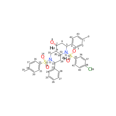 Cc1ccc(C2CC(=O)[C@@H]3CN(S(=O)(=O)c4ccc(C)cc4)C(c4ccccc4)C[C@@H]3N2S(=O)(=O)c2ccc(Cl)cc2)cc1